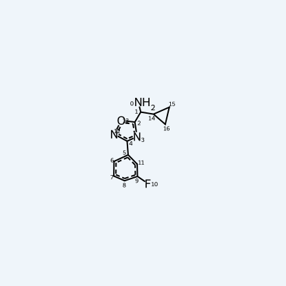 NC(c1nc(-c2cccc(F)c2)no1)C1CC1